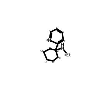 CCNC1(c2ccccn2)CCCCC1